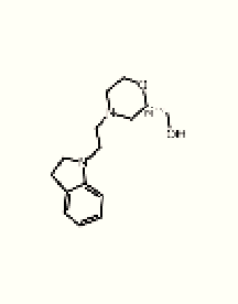 OC[C@@H]1CN(CCN2CCc3ccccc32)CCO1